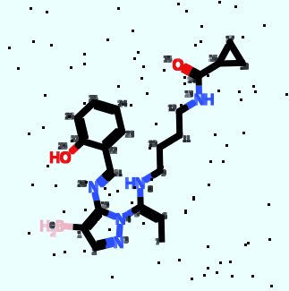 Bc1cnn(/C(=C\C)NCCCCNC(=O)C2CC2)c1/N=C/c1ccccc1O